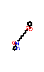 O=C(NCCCCCCCCCCOC(=O)c1ccccc1)c1ccccc1